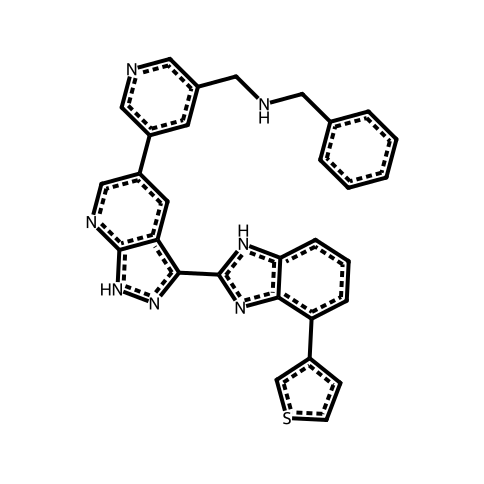 c1ccc(CNCc2cncc(-c3cnc4[nH]nc(-c5nc6c(-c7ccsc7)cccc6[nH]5)c4c3)c2)cc1